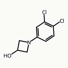 OC1CN(c2ccc(Cl)c(Cl)c2)C1